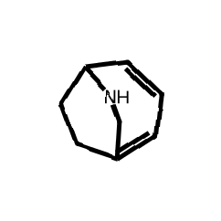 C1=CC2CCC(=C1)CN2